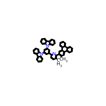 Cc1cc2c3ccccc3c3ccccc3c2cc1-c1nc(-c2cc(-n3c4ccccc4c4ccccc43)cc(-n3c4ccccc4c4ccccc43)c2)ccc1C